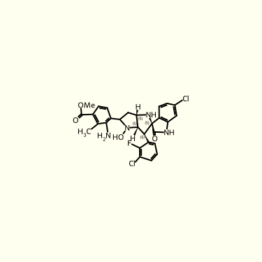 COC(=O)c1ccc(C2C[C@@H]3N[C@@]4(C(=O)Nc5cc(Cl)ccc54)[C@@H](c4cccc(Cl)c4F)[C@@H]3N2O)c(N)c1C